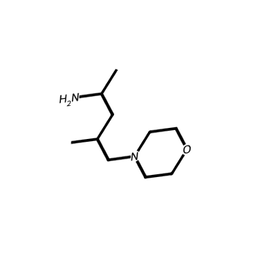 CC(N)CC(C)CN1CCOCC1